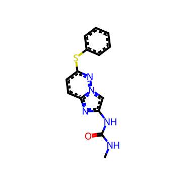 CNC(=O)Nc1cn2nc(Sc3ccccc3)ccc2n1